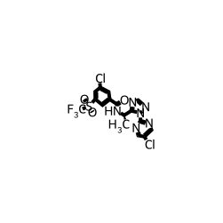 C[C@@H](NC(=O)c1cc(Cl)cc(S(=O)(=O)C(F)(F)F)c1)c1ncnn1-c1ncc(Cl)cn1